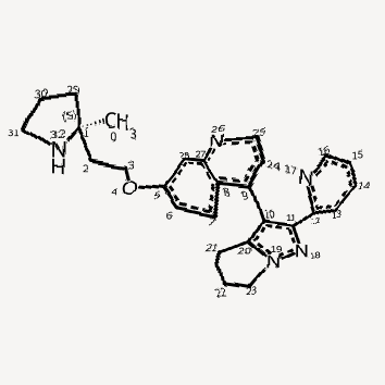 C[C@@]1(CCOc2ccc3c(-c4c(-c5ccccn5)nn5c4CCC5)ccnc3c2)CCCN1